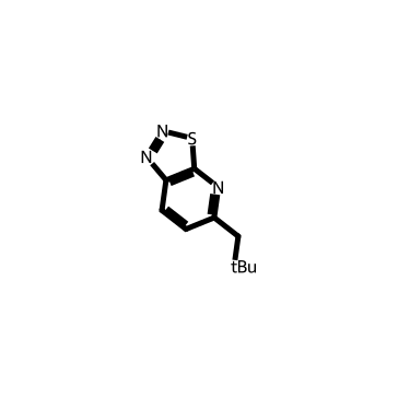 CC(C)(C)Cc1ccc2nnsc2n1